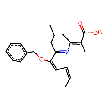 C\C=C/C=C(OCc1ccccc1)\C(CCC)=N\C(C)=C(/C)C(=O)O